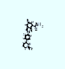 CCN1CCC=C(c2ccc(-n3cc4cc(F)cc(C(N)=O)c4n3)cc2)C1